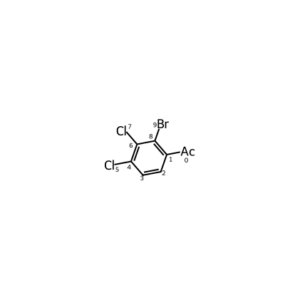 CC(=O)c1ccc(Cl)c(Cl)c1Br